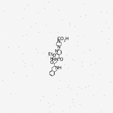 CCOc1nc(N2CCN(C(=O)O)CC2)ccc1C(=O)NCC(O)C1Cc2ccccc2CN1